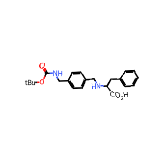 CC(C)(C)OC(=O)NCc1ccc(CNC(Cc2ccccc2)C(=O)O)cc1